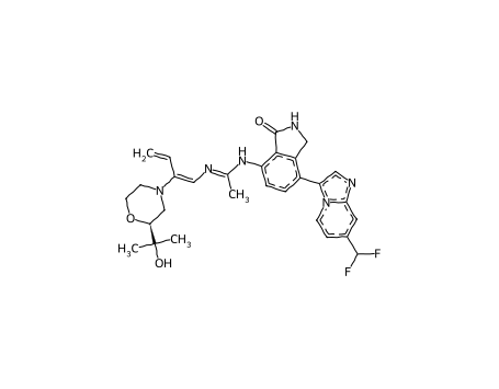 C=C/C(=C\N=C(/C)Nc1ccc(-c2cnc3cc(C(F)F)ccn23)c2c1C(=O)NC2)N1CCO[C@H](C(C)(C)O)C1